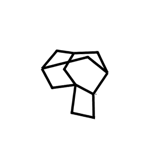 C1CC23CC4CC(CC(C4)[C]12)C3